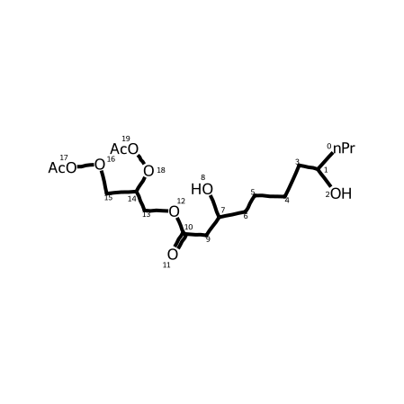 CCCC(O)CCCCC(O)CC(=O)OCC(COOC(C)=O)OOC(C)=O